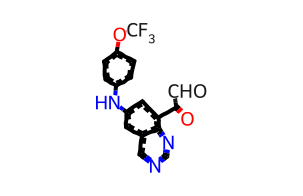 O=CC(=O)c1cc(Nc2ccc(OC(F)(F)F)cc2)cc2cncnc12